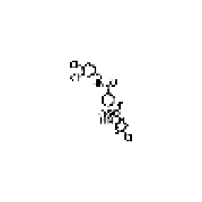 O=C(NCc1ccc(Cl)c(Cl)c1)c1ccc(S(=O)(=O)Nc2ncc(Cl)s2)c(F)c1